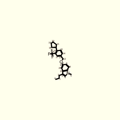 CCCc1cn(C)c2ccc(OCc3ccc(C4CCCC4)c(C(F)(F)F)c3)cc12